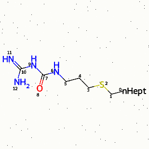 CCCCCCCCSCCCNC(=O)NC(=N)N